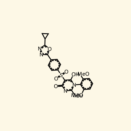 CCCCc1nc(=O)c(S(=O)(=O)c2ccc(-c3nnc(C4CC4)o3)cc2)c(O)n1-c1c(OC)cccc1OC